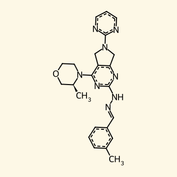 Cc1cccc(/C=N/Nc2nc3c(c(N4CCOC[C@@H]4C)n2)CN(c2ncccn2)C3)c1